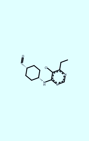 CCc1ncnc(N[C@H]2CC[C@@H](C=O)CC2)c1Cl